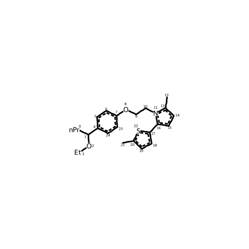 CCCC(OCC)c1ccc(OCCn2c(C)ccc2-c2ccc(C)s2)cc1